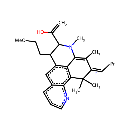 C=C(O)C1C(CCOC)c2cc3cccnc3c3c2C(=C(C)/C(=C\C(C)C)C3(C)C)N1C